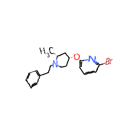 C[C@@H]1C[C@H](Oc2cccc(Br)n2)CCN1CCc1ccccc1